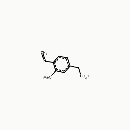 C=Nc1ccc(CC(=O)O)cc1OC